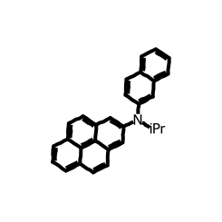 CC(C)N(c1ccc2ccccc2c1)c1cc2ccc3cccc4ccc(c1)c2c34